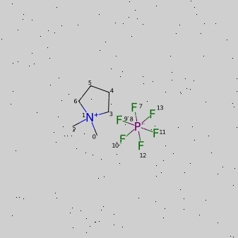 C[N+]1(C)CCCC1.F[P-](F)(F)(F)(F)F